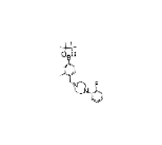 Cc1cc(B2OC(C)(C)C(C)(C)O2)ccc1CN1CCN(c2ccccc2F)CC1